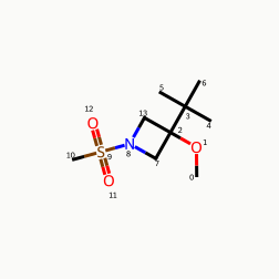 COC1(C(C)(C)C)CN(S(C)(=O)=O)C1